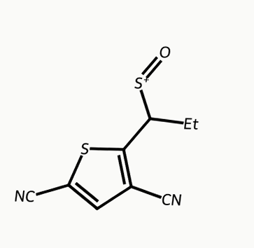 CCC([S+]=O)c1sc(C#N)cc1C#N